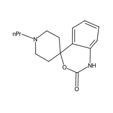 CCCN1CCC2(CC1)OC(=O)Nc1ccccc12